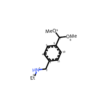 CCNCc1ccc(C(OC)OC)cc1